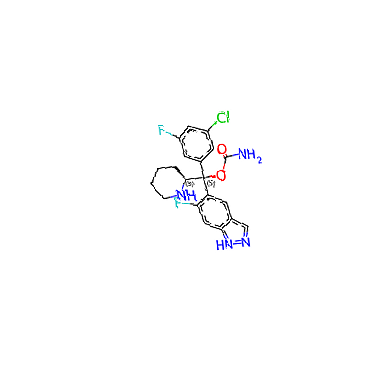 NC(=O)O[C@@](c1cc(F)cc(Cl)c1)(c1cc2cn[nH]c2cc1F)[C@@H]1CCCCN1